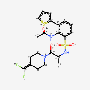 [CH2]CC[C@H](NS(=O)(=O)c1cccc(-c2cccs2)c1NC(=O)CC)C(=O)N1CCC(=C(F)F)CC1